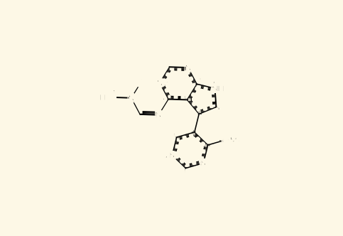 COc1ncncc1-c1c[nH]c2ncnc(/N=C\N(C)C)c12